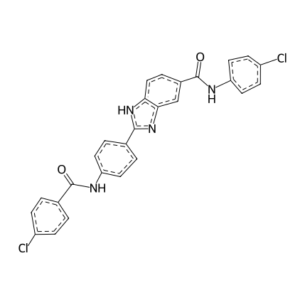 O=C(Nc1ccc(-c2nc3cc(C(=O)Nc4ccc(Cl)cc4)ccc3[nH]2)cc1)c1ccc(Cl)cc1